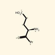 CC(C)C(=O)[C@H](N)CCC(=O)O